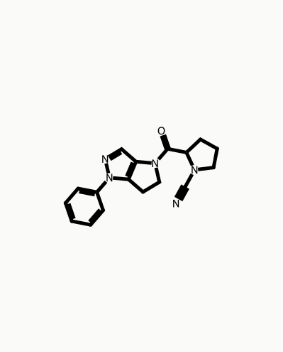 N#CN1CCCC1C(=O)N1CCc2c1cnn2-c1ccccc1